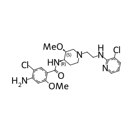 COc1cc(N)c(Cl)cc1C(=O)N[C@@H]1CCN(CCNc2ncccc2Cl)C[C@@H]1OC